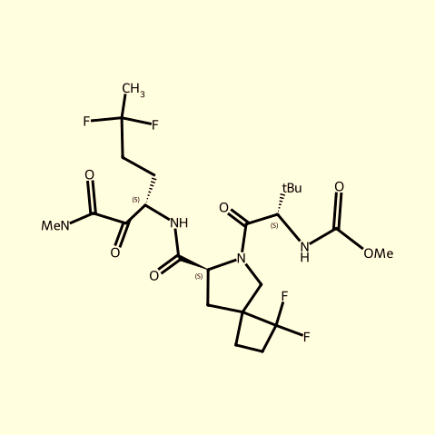 CNC(=O)C(=O)[C@H](CCC(C)(F)F)NC(=O)[C@@H]1CC2(CCC2(F)F)CN1C(=O)[C@@H](NC(=O)OC)C(C)(C)C